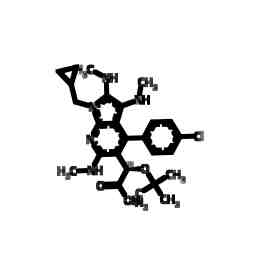 CNc1nc2c(c(NC)c(NC)n2CC2CC2)c(-c2ccc(Cl)cc2)c1[C@@H](OC(C)(C)C)C(=O)O